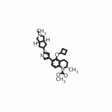 COC(=O)N1c2ccc(-c3cnn(C4C[C@@H]5CN(C)C[C@H]5C4)c3)c(OC3CCC3)c2CC[C@@H]1C